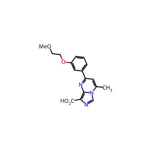 COCCOc1cccc(-c2cc(C)n3cnc(C(=O)O)c3n2)c1